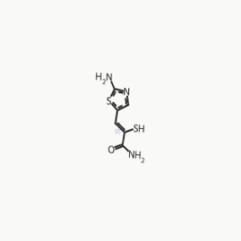 NC(=O)/C(S)=C/c1cnc(N)s1